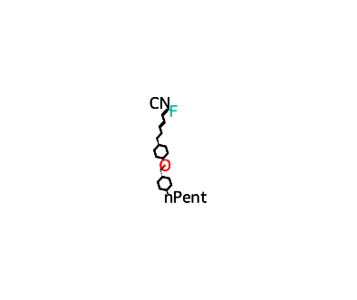 CCCCC[C@H]1CC[C@H](CO[C@H]2CC[C@H](CC/C=C/C=C(\F)C#N)CC2)CC1